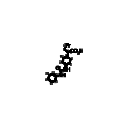 CC(C)CC(C(=O)O)c1ccc(NC(=O)Nc2ccccc2)cc1